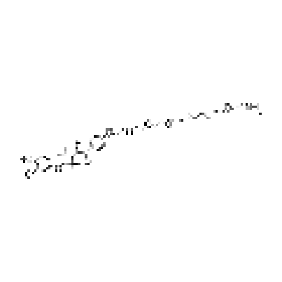 CC1(C)C(NC(=O)c2ccc(OCCOCCOCCOCCOCCOCCOCCN)cc2)C(C)(C)C1Oc1ccc(C#N)c(Cl)c1